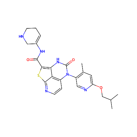 Cc1cc(OCC(C)C)ncc1N1C(=O)Nc2c(C(=O)NC3=CCCNC3)sc3nccc1c23